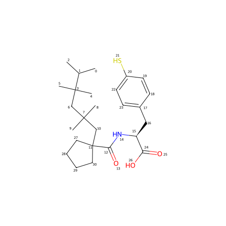 CC(C)C(C)(C)CC(C)(C)CC1(C(=O)N[C@@H](Cc2ccc(S)cc2)C(=O)O)CCCC1